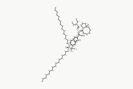 CCCCCCCCCCCCCCCCOP(=O)(OCCCCCCCCCCCCCCCC)C(F)(F)c1ccc2cc(C(=O)N[C@H]3CCCC[C@H]4CC[C@@H](C(=O)N(CC)CC)N4C3=O)[nH]c2c1